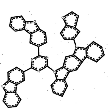 c1ccc2c(c1)oc1ccc(-c3nc(-c4ccc5oc6ccccc6c5c4)nc(-n4c5ccccc5c5cc6c7ccccc7n(-c7ccc8occc8c7)c6cc54)n3)cc12